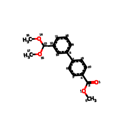 COC(=O)c1ccc(-c2cccc(C(OC)OC)c2)cc1